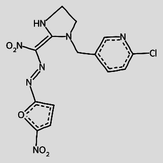 O=[N+]([O-])C(/N=N/c1ccc([N+](=O)[O-])o1)=C1\NCCN1Cc1ccc(Cl)nc1